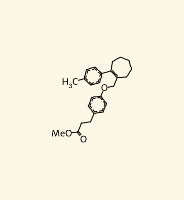 COC(=O)CCc1ccc(OCC2=C(c3ccc(C)cc3)CCCCC2)cc1